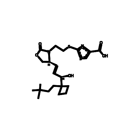 CC(C)(C)CCC1([C@H](O)C=C[C@H]2COC(=O)N2CCSc2nc(C(=O)O)cs2)CCC1